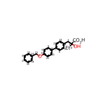 CCC(O)(Cc1ccc(-c2ccc(OCc3ccccc3)cc2)cc1)C(=O)O